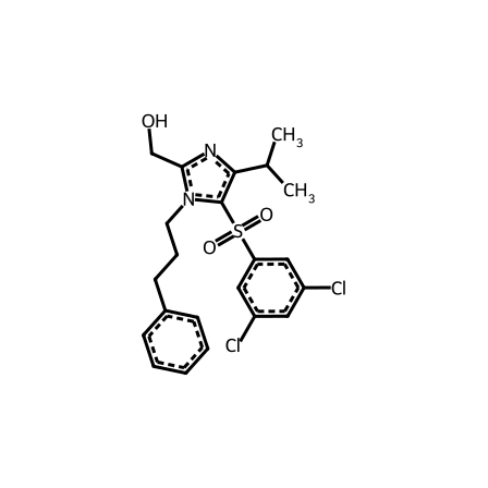 CC(C)c1nc(CO)n(CCCc2ccccc2)c1S(=O)(=O)c1cc(Cl)cc(Cl)c1